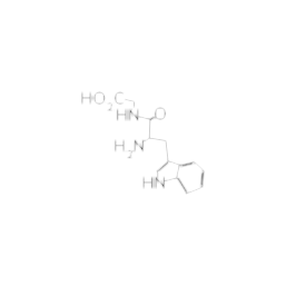 NC(Cc1c[nH]c2ccccc12)C(=O)NCC(=O)O